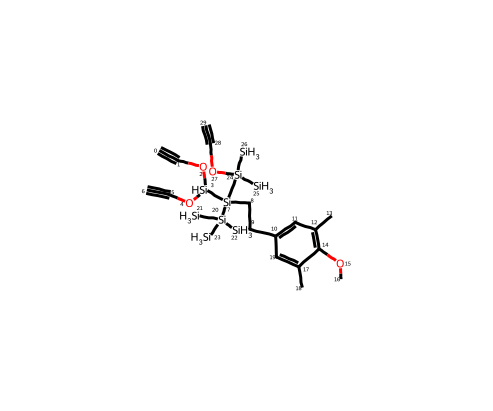 C#CO[SiH](OC#C)[Si](CCc1cc(C)c(OC)c(C)c1)([Si]([SiH3])([SiH3])[SiH3])[Si]([SiH3])([SiH3])OC#C